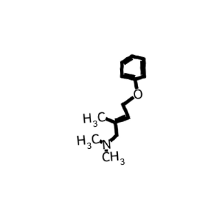 C/C(=C\COc1ccccc1)CN(C)C